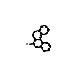 Brc1cc2ccccc2c2c1ccc1ccccc12